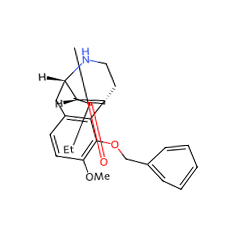 CCC1C[C@@H]2[C@@H]3Cc4ccc(OC)c(OCc5ccccc5)c4[C@]2(CCN3)CC1=O